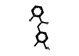 Cc1cc(C[S+]([O-])c2cccc[n+]2[O-])ccc1[N+](=O)[O-]